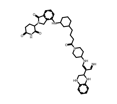 N=C/C(=C\NC1CCN(C(=O)CCCC2CCCC(Nc3cccc4c3CN(C3CCC(=O)NC3=O)C4=O)C2)CC1)C1CNc2ccccc2N1